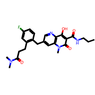 CCCNC(=O)c1c(O)c2ncc(Cc3ccc(F)cc3CCC(=O)N(C)C)cc2n(C)c1=O